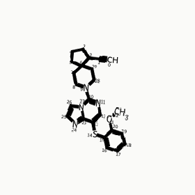 C#CC1CCCC12CCN(c1ncc(Sc3ccccc3OC)c3nccn13)CC2